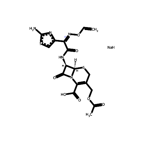 C=CO/N=C(\C(=O)N[C@@H]1C(=O)N2C(C(=O)O)=C(COC(C)=O)CS[C@H]12)c1csc(N)n1.[NaH]